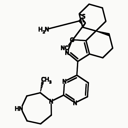 C[C@H]1CNCCCN1c1nccc(-c2noc3c2CCC[C@@]32CCCc3sc(N)c(C#N)c32)n1